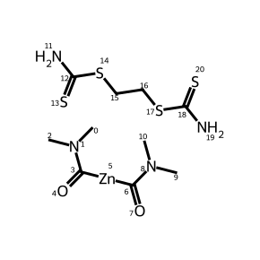 CN(C)[C](=O)[Zn][C](=O)N(C)C.NC(=S)SCCSC(N)=S